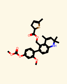 COC(=O)Oc1ccc(-c2ccc3c(c2COC(=O)C2CC=C(C)S2)C(C)=CC(C)(C)N3)c(OC)c1